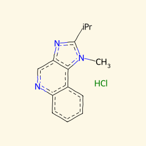 CC(C)c1nc2cnc3ccccc3c2n1C.Cl